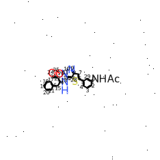 CC(=O)Nc1cccc(-c2cc3ncnc(NC(Cc4ccccc4)C4=COCO4)c3s2)c1